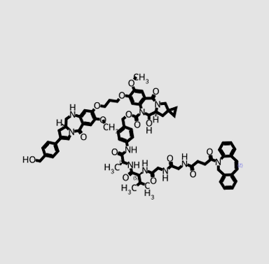 COc1cc2c(cc1OCCCOc1cc3c(cc1OC)C(=O)N1CC4(CC4)C[C@H]1C(O)N3C(=O)OCc1ccc(NC(=O)[C@H](C)NC(=O)[C@@H](NC(=O)CNC(=O)CNC(=O)CCC(=O)N3Cc4ccccc4/C=C\c4ccccc43)C(C)C)cc1)NC[C@@H]1CC(c3ccc(CO)cc3)=CN1C2=O